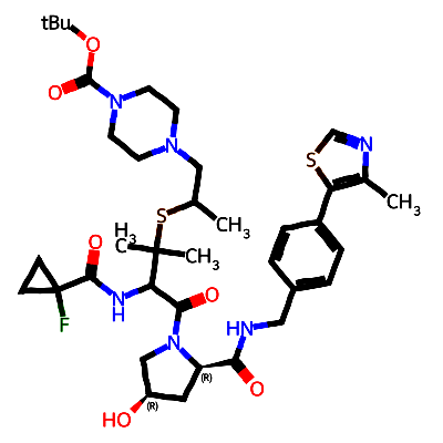 Cc1ncsc1-c1ccc(CNC(=O)[C@H]2C[C@@H](O)CN2C(=O)C(NC(=O)C2(F)CC2)C(C)(C)SC(C)CN2CCN(C(=O)OC(C)(C)C)CC2)cc1